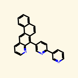 c1cncc(-c2ccc(-c3c4ccc5ccccc5c4cc4cccnc34)cn2)c1